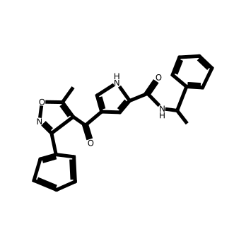 Cc1onc(-c2ccccc2)c1C(=O)c1c[nH]c(C(=O)NC(C)c2ccccc2)c1